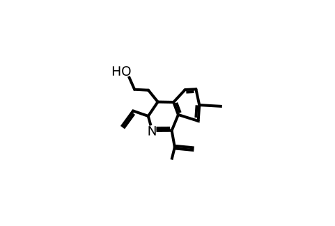 C=CC1N=C(C(=C)C)c2cc(C)ccc2C1CCO